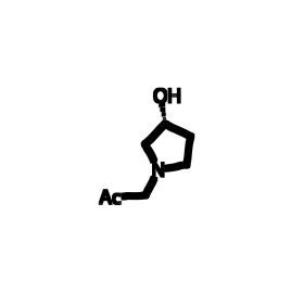 CC(=O)CN1CC[C@@H](O)C1